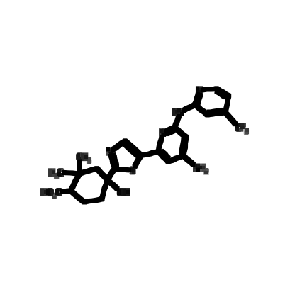 CC1(C)CC(O)(c2ncc(-c3cc(N)cc(Nc4cc(C(F)(F)F)ccn4)n3)s2)CCC1C(=O)O